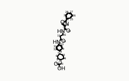 O=C(O)C[C@H]1CC[C@H](c2ccc(NC(=O)CCNC(=O)c3coc(-c4ccccc4)n3)cc2)CC1